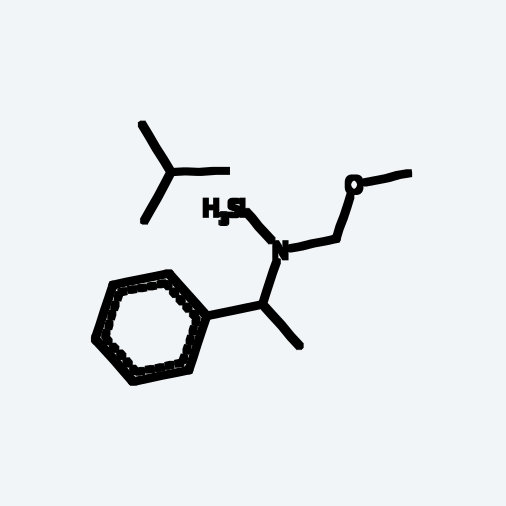 CC(C)C.COCN([SiH3])C(C)c1ccccc1